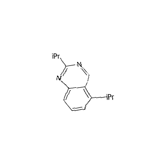 CC(C)c1ncc2c(C(C)C)cccc2n1